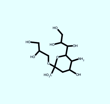 NC1C(O)CC(OCC(O)CO)(C(=O)O)OC1C(O)C(O)CO